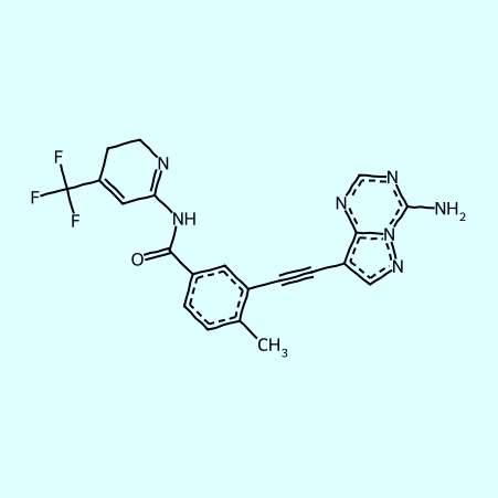 Cc1ccc(C(=O)NC2=NCCC(C(F)(F)F)=C2)cc1C#Cc1cnn2c(N)ncnc12